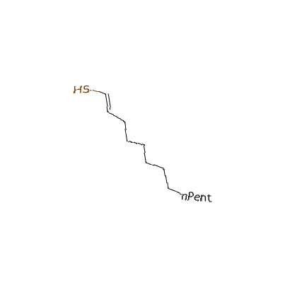 CCCCCCCCCCCC=CS